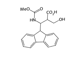 COC(=O)NC(C(CO)C(=O)O)C1c2ccccc2-c2ccccc21